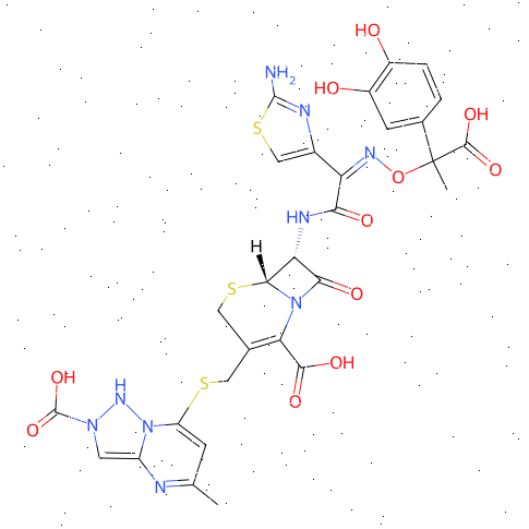 CC1=NC2=CN(C(=O)O)NN2C(SCC2=C(C(=O)O)N3C(=O)[C@@H](NC(=O)/C(=N\OC(C)(C(=O)O)c4ccc(O)c(O)c4)c4csc(N)n4)[C@H]3SC2)=C1